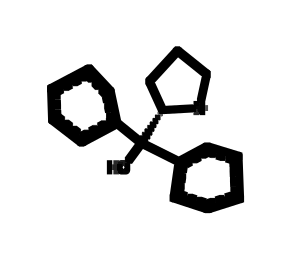 OC(c1ccccc1)(c1ccccc1)[C@@H]1CCC[N]1